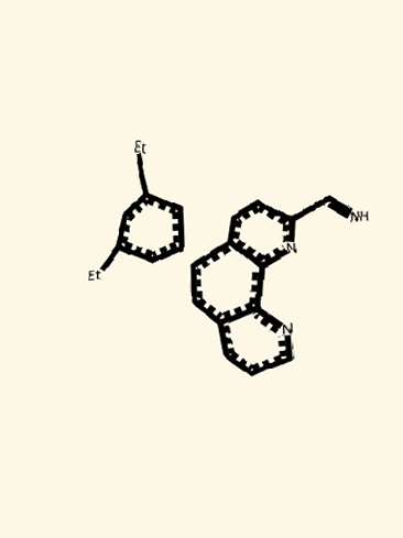 CCc1cccc(CC)c1.N=Cc1ccc2ccc3cccnc3c2n1